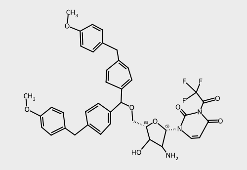 COc1ccc(Cc2ccc(C(OC[C@@H]3O[C@H](n4ccc(=O)n(C(=O)C(F)(F)F)c4=O)C(N)C3O)c3ccc(Cc4ccc(OC)cc4)cc3)cc2)cc1